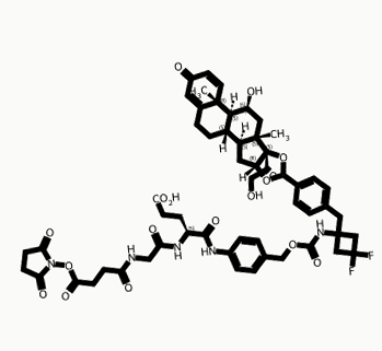 C[C@]12C=CC(=O)C=C1CC[C@@H]1[C@@H]2[C@@H](O)C[C@@]2(C)[C@H]1C[C@H]1OC(c3ccc(CC4(NC(=O)OCc5ccc(NC(=O)[C@H](CCC(=O)O)NC(=O)CNC(=O)CCC(=O)ON6C(=O)CCC6=O)cc5)CC(F)(F)C4)cc3)O[C@]12C(=O)CO